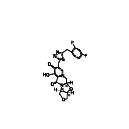 O=C1c2c(O)c(=O)c(-c3nnc(Cc4ccc(F)cc4F)s3)cn2C[C@@H]2O[C@H]3COC[C@H]3N12